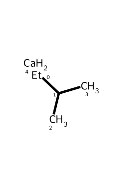 [CH2]CC(C)C.[CaH2]